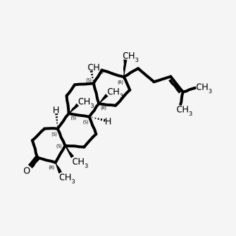 CC(C)=CCC[C@]1(C)CC[C@]2(C)[C@H]3CC[C@@]4(C)[C@@H](CCC(=O)[C@@H]4C)[C@]3(C)CC[C@@]2(C)C1